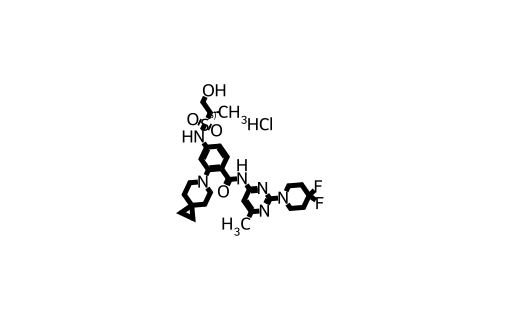 Cc1cc(NC(=O)c2ccc(NS(=O)(=O)[C@@H](C)CO)cc2N2CCC3(CC2)CC3)nc(N2CCC(F)(F)CC2)n1.Cl